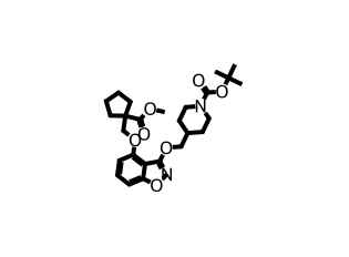 COC(=O)C1(COc2cccc3onc(OCC4CCN(C(=O)OC(C)(C)C)CC4)c23)CCCC1